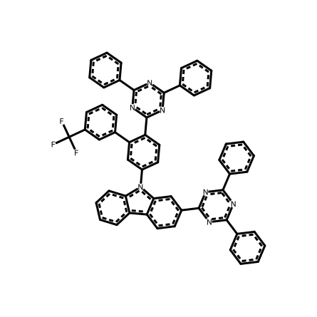 FC(F)(F)c1cccc(-c2cc(-n3c4ccccc4c4ccc(-c5nc(-c6ccccc6)nc(-c6ccccc6)n5)cc43)ccc2-c2nc(-c3ccccc3)nc(-c3ccccc3)n2)c1